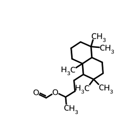 CC(CCC1C(C)(C)CCC2C(C)(C)CCCC21C)OC=O